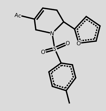 CC(=O)C1=CCC(c2ccco2)N(S(=O)(=O)c2ccc(C)cc2)C1